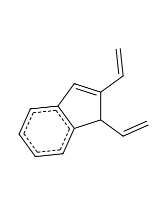 C=CC1=Cc2ccccc2C1C=C